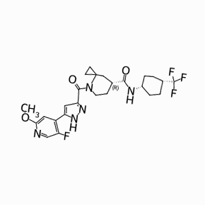 COc1cc(-c2cc(C(=O)N3CC[C@@H](C(=O)N[C@H]4CC[C@@H](C(F)(F)F)CC4)CC34CC4)n[nH]2)c(F)cn1